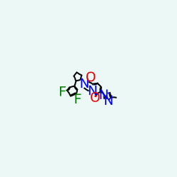 Cc1cn(-c2ccc3n(c2=O)CCN(C2CCCC2c2cc(F)cc(F)c2)C3=O)cn1